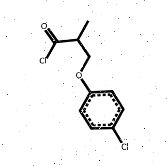 CC(COc1ccc(Cl)cc1)C(=O)Cl